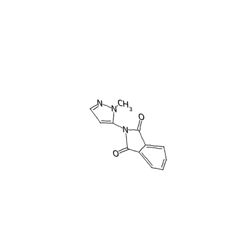 Cn1nccc1N1C(=O)c2ccccc2C1=O